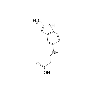 Cc1cc2cc(NCCC(=O)O)ccc2[nH]1